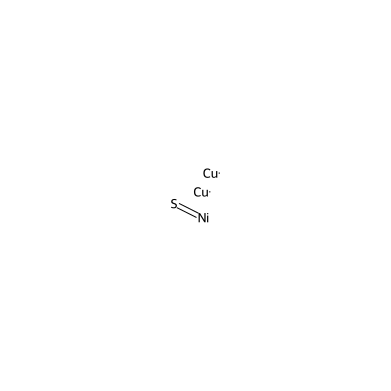 [Cu].[Cu].[S]=[Ni]